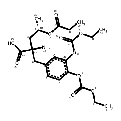 CCOC(=O)Oc1ccc(CC(N)(C[C@H](C)OC(=O)CC)C(=O)O)cc1OC(=O)OCC